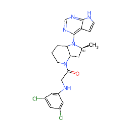 C[C@H]1CC2C(CCCN2C(=O)CNc2cc(Cl)cc(Cl)c2)N1c1ncnc2[nH]ccc12